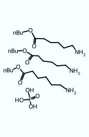 CCCCOC(=O)CCCCCN.CCCCOC(=O)CCCCCN.CCCCOC(=O)CCCCCN.O=P(O)(O)O